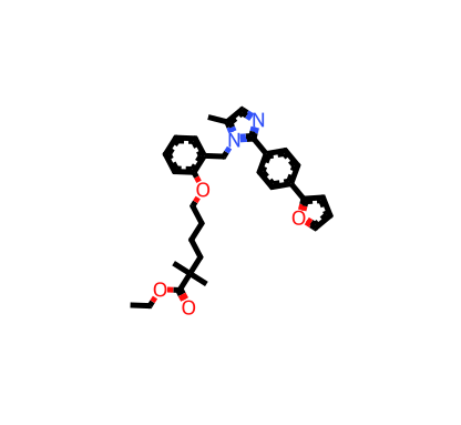 CCOC(=O)C(C)(C)CCCCOc1ccccc1Cn1c(C)cnc1-c1ccc(-c2ccco2)cc1